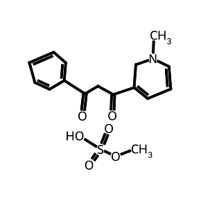 CN1C=CC=C(C(=O)CC(=O)c2ccccc2)C1.COS(=O)(=O)O